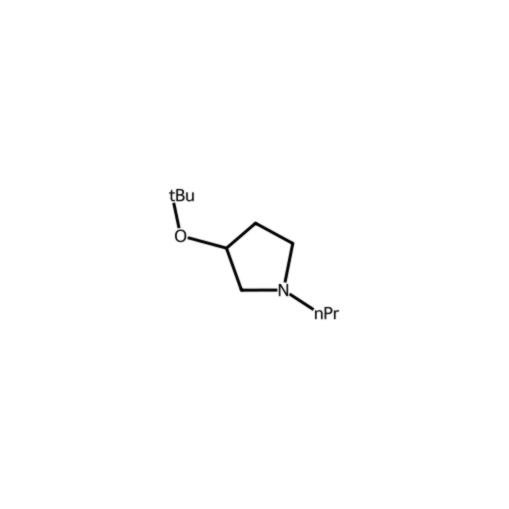 CCCN1CCC(OC(C)(C)C)C1